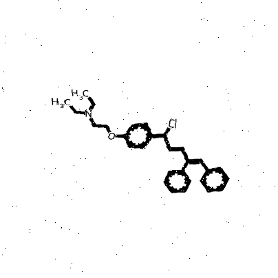 CCN(CC)CCOc1ccc(C(Cl)CCC(=Cc2ccccc2)c2ccccc2)cc1